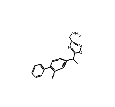 CC(c1ccc(-c2ccccc2)c(F)c1)c1nc(CN)no1